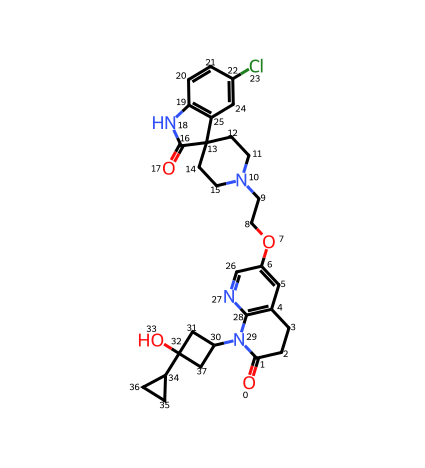 O=C1CCc2cc(OCCN3CCC4(CC3)C(=O)Nc3ccc(Cl)cc34)cnc2N1C1CC(O)(C2CC2)C1